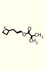 C=C(C)C(=O)OC=CCC1CCS1